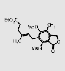 CCOC(=O)CC/C(C)=C/Cc1c(NC)c2c(c(C)c1OC)COC2=O